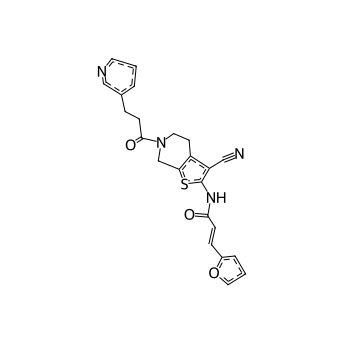 N#Cc1c(NC(=O)C=Cc2ccco2)sc2c1CCN(C(=O)CCc1cccnc1)C2